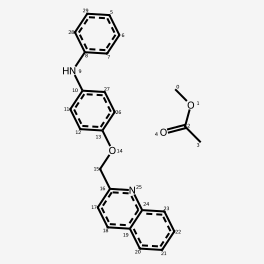 COC(C)=O.c1ccc(Nc2ccc(OCc3ccc4ccccc4n3)cc2)cc1